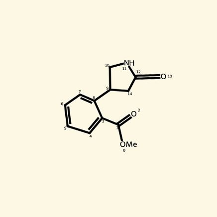 COC(=O)c1ccccc1C1CNC(=O)C1